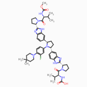 COC(=O)N[C@H](C(=O)N1CCC[C@H]1c1nc2ccc([C@H]3CC[C@H](c4ccc5[nH]c([C@@H]6CCCN6C(=O)[C@@H](NC(=O)O)C(C)C)nc5c4)N3c3ccc(N4CCC(C)(C)CC4)c(F)c3)cc2[nH]1)C(C)C